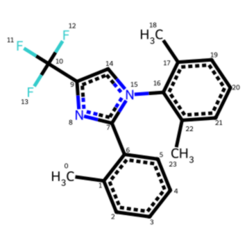 Cc1ccccc1-c1nc(C(F)(F)F)cn1-c1c(C)cccc1C